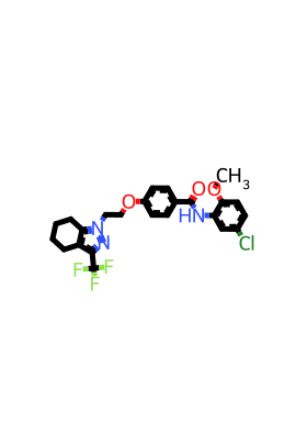 COc1ccc(Cl)cc1NC(=O)c1ccc(OCCn2nc(C(F)(F)F)c3c2CCCC3)cc1